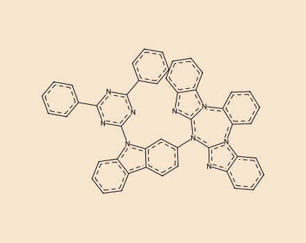 c1ccc(-c2nc(-c3ccccc3)nc(-n3c4ccccc4c4ccc(-n5c6nc7ccccc7n6c6ccccc6n6c7ccccc7nc56)cc43)n2)cc1